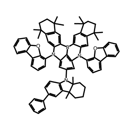 CC1(C)CCC(C)(C)c2cc3c(cc21)B1c2cc4c(cc2N(c2cccc5c2oc2ccccc25)c2cc(N5c6ccc(-c7ccccc7)cc6C6(C)CCCCC56C)cc(c21)N3c1cccc2c1oc1ccccc12)C(C)(C)CCC4(C)C